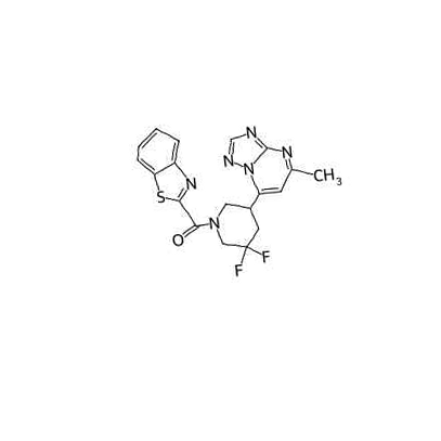 Cc1cc(C2CN(C(=O)c3nc4ccccc4s3)CC(F)(F)C2)n2ncnc2n1